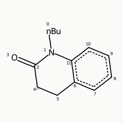 CCCCN1C(=O)[C]Cc2ccccc21